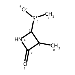 CC1C(=O)NC1[S+](C)[O-]